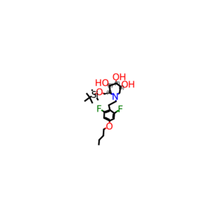 CCCCOc1cc(F)c(CCN2C[C@H](O)[C@@H](O)[C@H](O)[C@@H]2CO[Si](C)(C)C(C)(C)C)c(F)c1